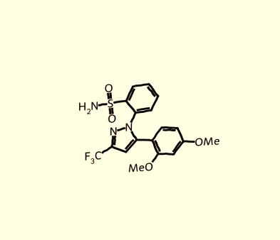 COc1ccc(-c2cc(C(F)(F)F)nn2-c2ccccc2S(N)(=O)=O)c(OC)c1